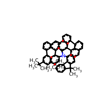 CC(C)(C)c1cc(-c2cccc3cccc(-c4ccccc4N(c4ccccc4-c4cccc5cccc(-c6ccccc6)c45)c4cccc5c4-c4ccccc4C5(C)C)c23)cc(C(C)(C)C)c1